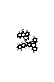 O=C1c2ccccc2-c2nc(-n3c4cc5ccccc5cc4c4cc5c6c(c43)-c3ccccc3C(C6)c3ccccc3-5)nc3cccc1c23